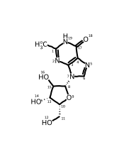 Cc1nc2c(ncn2[C@@H]2O[C@H](CO)[C@H](O)C2O)c(=O)[nH]1